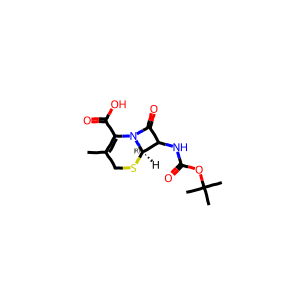 CC1=C(C(=O)O)N2C(=O)C(NC(=O)OC(C)(C)C)[C@H]2SC1